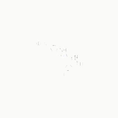 Cn1ncc(/C=C/C(=O)Nc2ccc(CSC(C)(C)C)cc2)c1-c1ccc(F)cc1